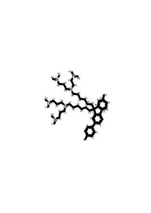 Cc1ccc(-c2ccc3c(c2)C(CCCCCCN(CCCN(C)C)CCCN(C)C)(CCCCCCN(CCCN(C)C)CCN(C)C)c2cc(C)ccc2-3)cc1